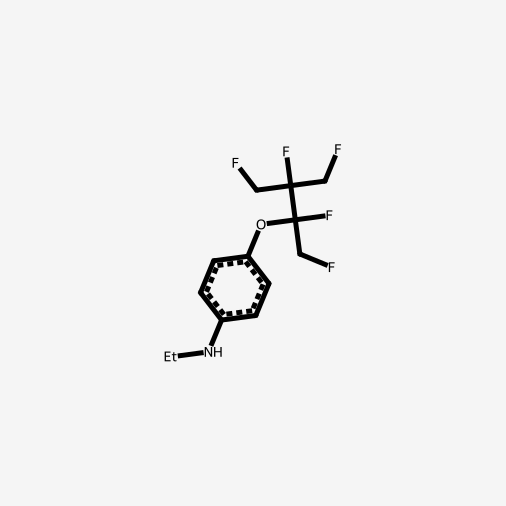 CCNc1ccc(OC(F)(CF)C(F)(CF)CF)cc1